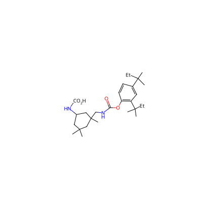 CCC(C)(C)c1ccc(OC(=O)NCC2(C)CC(NC(=O)O)CC(C)(C)C2)c(C(C)(C)CC)c1